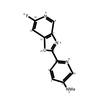 CNc1ccc(-c2nc3cnc(F)cc3o2)nc1